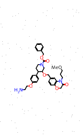 COCCCN1C(=O)COc2ccc(COC3CN(C(=O)OCc4ccccc4)CCC3c3ccc(OCCN)cc3)cc21